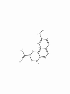 COc1ccc2ncc3c(c2c1)CC(C(=O)O)CO3